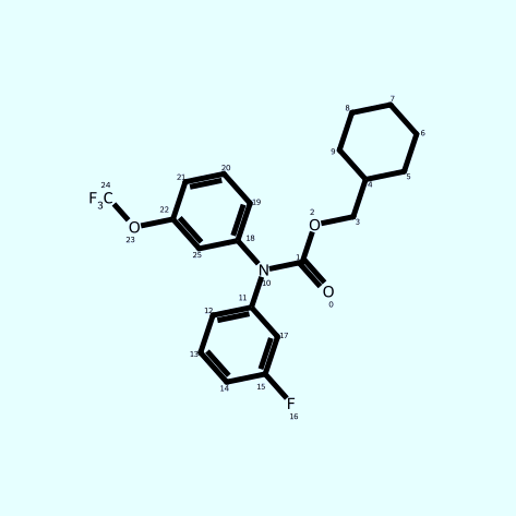 O=C(OCC1CCCCC1)N(c1cccc(F)c1)c1cccc(OC(F)(F)F)c1